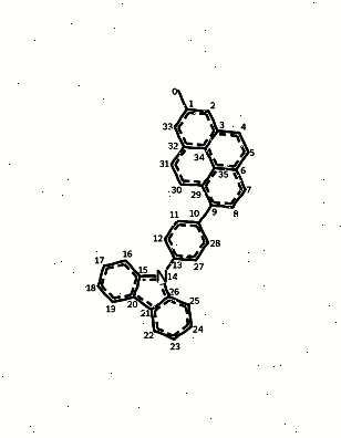 Cc1cc2ccc3ccc(-c4ccc(-n5c6ccccc6c6ccccc65)cc4)c4ccc(c1)c2c34